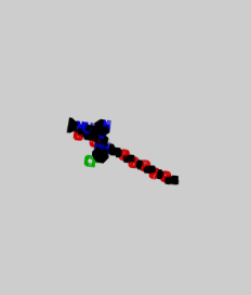 C#CCOCCOCCOCCOCCOCCCCn1c(CN2C(=O)C3(CCN(C(=O)NC4CC4)CC3)c3ccncc32)nc2cc(Cl)ccc21